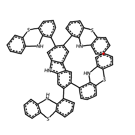 c1ccc2c(c1)Nc1c(cccc1-c1cc3[nH]c4cc(-c5cccc6c5Nc5ccccc5S6)c(-c5cccc6c5Nc5ccccc5S6)cc4c3cc1-c1cccc3c1Nc1ccccc1S3)S2